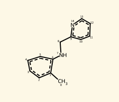 Cc1ccccc1NCc1ccccn1